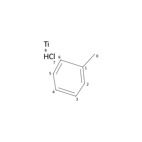 Cc1ccccc1.Cl.[Ti]